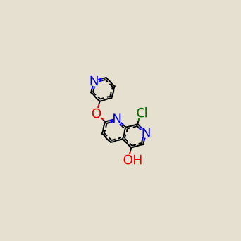 Oc1cnc(Cl)c2nc(Oc3cccnc3)ccc12